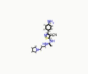 C=C(NCCCN1CCCC1)Nc1snc(-c2ccc(N)cc2)c1C#N